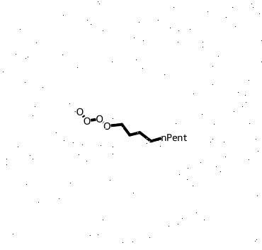 CCCCCCCCCOOO[O]